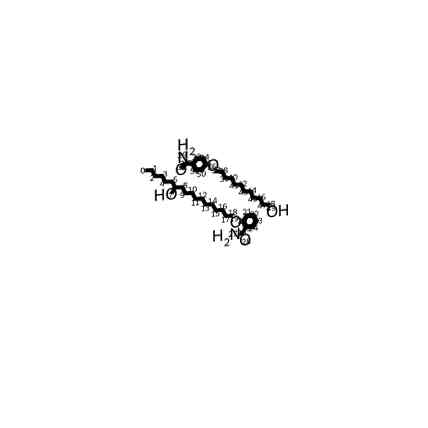 CCCCCCC(O)CCCCCCCCCCCOc1ccccc1C(N)=O.NC(=O)c1ccc(OCCCCCCCCCCCCO)cc1